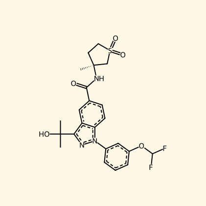 CC(C)(O)c1nn(-c2cccc(OC(F)F)c2)c2ccc(C(=O)N[C@@]3(C)CCS(=O)(=O)C3)cc12